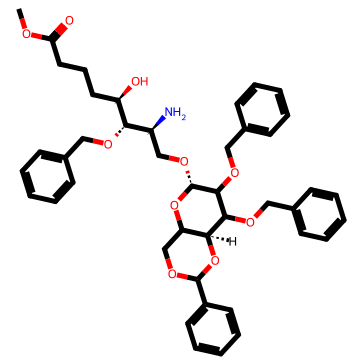 COC(=O)CCC[C@@H](O)[C@@H](OCc1ccccc1)[C@@H](N)CO[C@H]1OC2COC(c3ccccc3)O[C@@H]2C(OCc2ccccc2)C1OCc1ccccc1